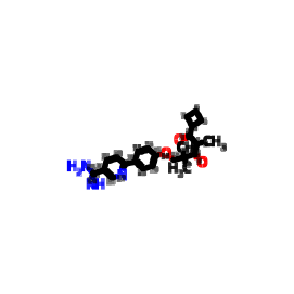 CC(C(=O)C1CCC1)C(=O)C(C)(C)COc1ccc(-c2ccc(C(=N)N)cn2)cc1